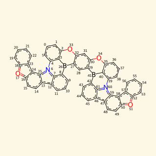 c1cc2c3c(c1)-n1c4c(cccc4c4ccc5oc6ccccc6c5c41)B3c1cc3c(cc1O2)Oc1cccc2c1B3c1cccc3c4ccc5oc6ccccc6c5c4n-2c13